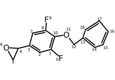 Fc1cc(C2CO2)cc(F)c1OCc1ccccc1